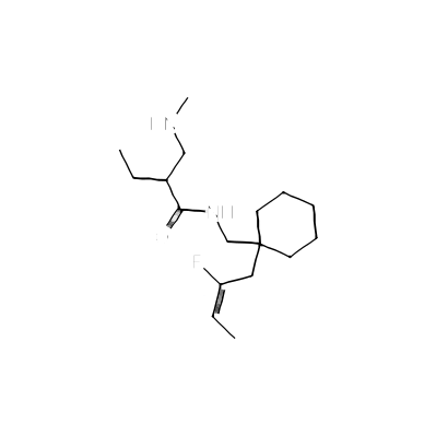 C/C=C(/F)CC1(CNC(=O)C(CC)CNC)CCCCC1